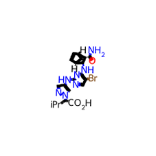 CC(C)C(C(=O)O)n1cc(Nc2ncc(Br)c(N[C@@H]3[C@@H](C(N)=O)[C@H]4C=C[C@H]3C4)n2)cn1